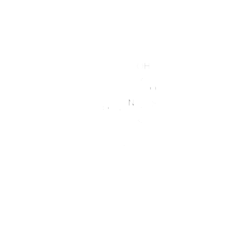 O=C(O)CN1C(=O)C(=C(c2ccccc2)c2ccccc2)SC1=S